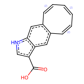 O=C(O)c1c[nH]c2cc3c(cc12)\C=C/C=C\C=C/3